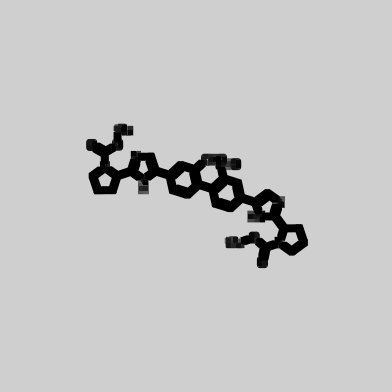 CC(C)(C)OC(=O)N1CCCC1c1ncc(-c2ccc(-c3ccc(-c4cnc(C5CCCN5C(=O)OC(C)(C)C)[nH]4)cc3C=O)c(C=O)c2)[nH]1